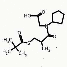 CC(CSC(=O)C(C)(C)C)C(=O)N(CC(=O)O)C1CCCC1